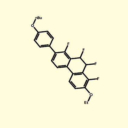 CCCCOc1ccc(-c2ccc3c(c2F)C(F)C(F)c2c-3ccc(OCC)c2F)cc1